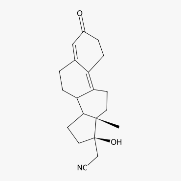 C[C@]12CCC3=C4CCC(=O)C=C4CCC3C1CC[C@@]2(O)CC#N